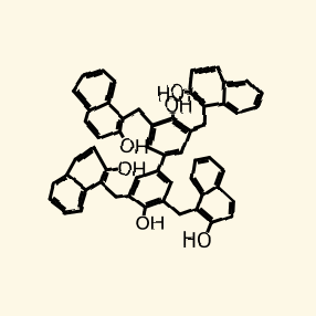 Oc1ccc2ccccc2c1Cc1cc(-c2cc(Cc3c(O)ccc4ccccc34)c(O)c(Cc3c(O)ccc4ccccc34)c2)cc(Cc2c(O)ccc3ccccc23)c1O